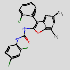 Cc1cc(C)c2oc(NC(=O)Nc3ccc(F)cc3F)c(-c3ccccc3Cl)c2c1